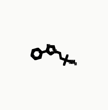 CC(C)(N)CCn1cnc(-c2ccccc2)c1